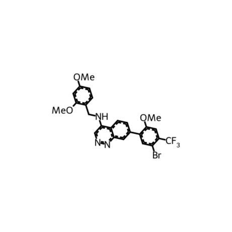 COc1ccc(CNc2cnnc3cc(-c4cc(Br)c(C(F)(F)F)cc4OC)ccc23)c(OC)c1